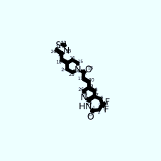 O=C1CC(F)(F)Cc2cc(/C=C/C(=O)N3CCC(=Cc4cscn4)CC3)cnc2N1